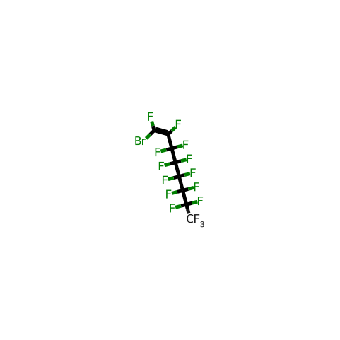 FC(Br)=C(F)C(F)(F)C(F)(F)C(F)(F)C(F)(F)C(F)(F)C(F)(F)F